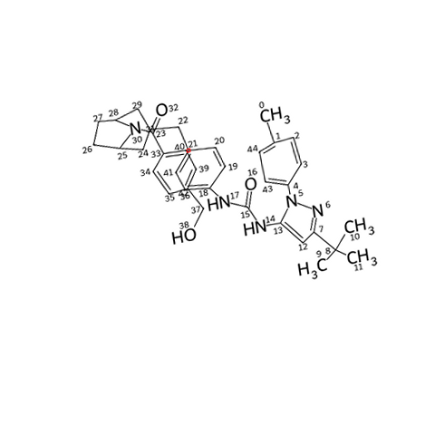 Cc1ccc(-n2nc(C(C)(C)C)cc2NC(=O)Nc2ccc(CC3CC4CCC(C3)N4C(=O)c3ccc(CO)cc3)cc2)cc1